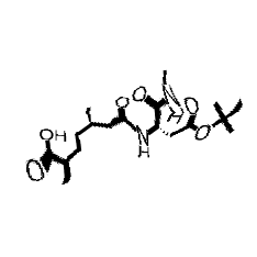 C=C(CC[C@@H](C)CC(=O)N[C@@H](CC(=O)OC(C)(C)C)C(=O)NC)C(=O)O